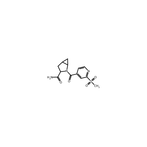 CS(=O)(=O)c1cc(C(=O)N2C(C(N)=O)CC3CC32)ccn1